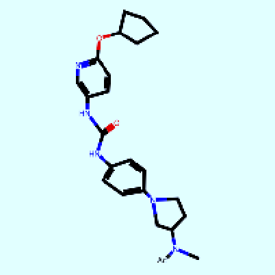 CC(=O)N(C)C1CCN(c2ccc(NC(=O)Nc3ccc(OC4CCCC4)nc3)cc2)C1